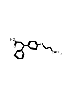 COCCOc1ccc(C(CC(=O)O)c2ccccc2)cc1